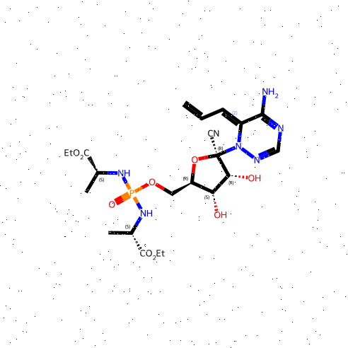 C=C/C=C1/C(N)=NC=NN1[C@]1(C#N)O[C@H](COP(=O)(N[C@@H](C)C(=O)OCC)N[C@@H](C)C(=O)OCC)[C@@H](O)[C@H]1O